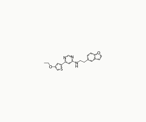 CCOc1csc(-c2cc(NCCc3ccc4occc4c3)ncn2)c1